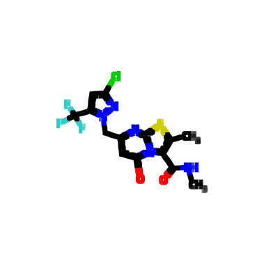 CNC(=O)c1c(C)sc2nc(Cn3nc(Cl)cc3C(F)(F)F)cc(=O)n12